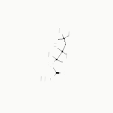 CC(=O)OC(F)(F)C(F)(F)CC(F)(F)F